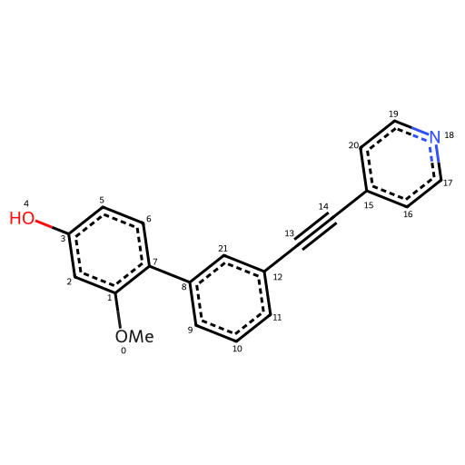 COc1cc(O)ccc1-c1cccc(C#Cc2ccncc2)c1